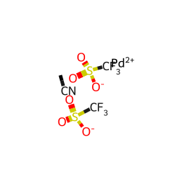 CC#N.O=S(=O)([O-])C(F)(F)F.O=S(=O)([O-])C(F)(F)F.[Pd+2]